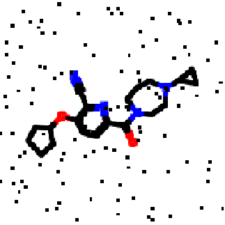 N#Cc1nc(C(=O)N2CCCN(C3CC3)CC2)ccc1OC1CCCC1